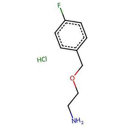 Cl.NCCOCc1ccc(F)cc1